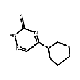 S=c1nc(C2CCCCC2)cn[nH]1